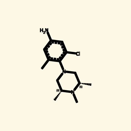 Cc1cc(N)cc(Cl)c1N1C[C@@H](C)N(C)[C@@H](C)C1